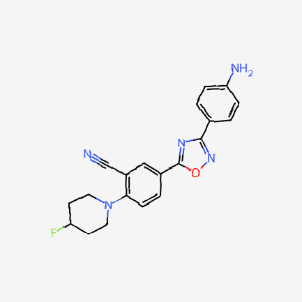 N#Cc1cc(-c2nc(-c3ccc(N)cc3)no2)ccc1N1CCC(F)CC1